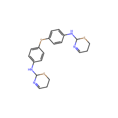 C1=NC(Nc2ccc(Sc3ccc(NC4N=CCCS4)cc3)cc2)SCC1